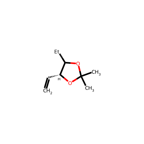 C=C[C@H]1OC(C)(C)OC1CC